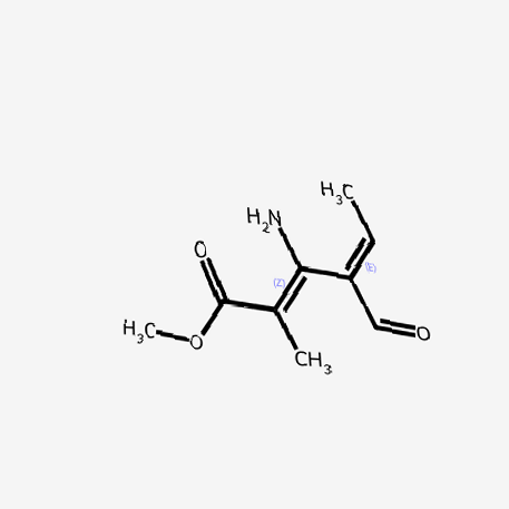 C/C=C(C=O)\C(N)=C(/C)C(=O)OC